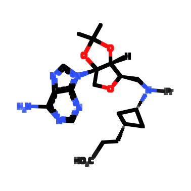 CC(C)N(C[C@H]1OC[C@]2(n3cnc4c(N)ncnc43)OC(C)(C)O[C@H]12)[C@H]1C[C@@H](CCC(=O)O)C1